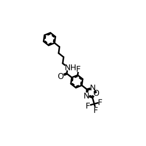 O=C(NCCCCc1ccccc1)c1ccc(-c2noc(C(F)(F)F)n2)cc1F